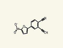 C#Cc1cc(-c2ccc([N+](=O)[O-])o2)ccc1C#N